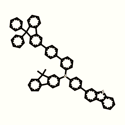 CC1(C)c2ccccc2-c2ccc(N(c3ccc(-c4ccc5c(c4)sc4ccccc45)cc3)c3cccc(-c4ccc(-c5ccc6c(c5)-c5ccccc5C6(c5ccccc5)c5ccccc5)cc4)c3)cc21